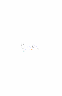 CCC1(C)Cn2ncc(S(N)(=O)=NC(=O)Nc3c4c(cc5c3C[C@@H](F)C5)CCC4)c2O1